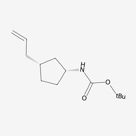 C=CC[C@H]1CC[C@@H](NC(=O)OC(C)(C)C)C1